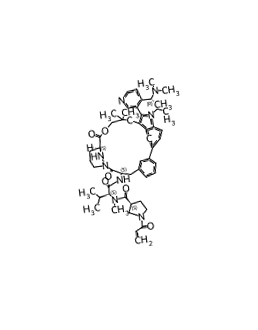 C=CC(=O)N1CC[C@H](C(=O)N(C)[C@H](C(=O)N[C@H]2Cc3cccc(c3)-c3ccc4c(c3)c(c(-c3cnccc3[C@@H](C)N(C)C)n4CC)CC(C)(C)COC(=O)[C@@H]3CCCN(N3)C2=O)C(C)C)C1